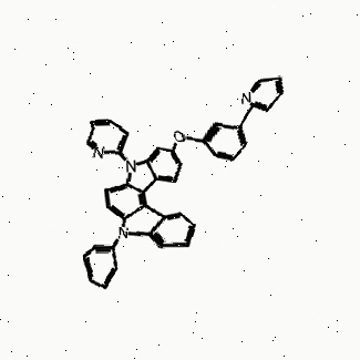 c1ccc(-n2c3ccccc3c3c4c5ccc(Oc6cccc(-c7ccccn7)c6)cc5n(-c5ccccn5)c4ccc32)cc1